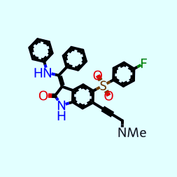 CNCC#Cc1cc2c(cc1S(=O)(=O)c1ccc(F)cc1)/C(=C(/Nc1ccccc1)c1ccccc1)C(=O)N2